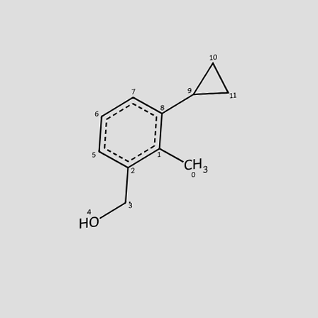 Cc1c([CH]O)cccc1C1CC1